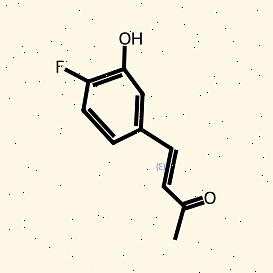 CC(=O)/C=C/c1ccc(F)c(O)c1